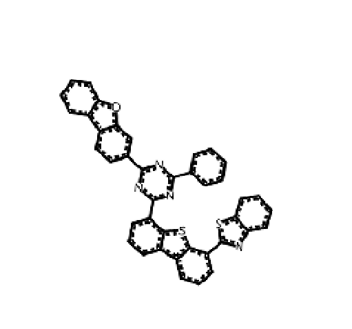 c1ccc(-c2nc(-c3ccc4c(c3)oc3ccccc34)nc(-c3cccc4c3sc3c(-c5nc6ccccc6s5)cccc34)n2)cc1